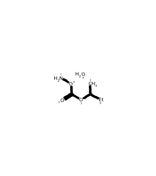 CCC(C)OC(=O)ON.O